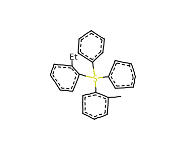 CCc1ccccc1S(c1ccccc1)(c1ccccc1)c1ccccc1C